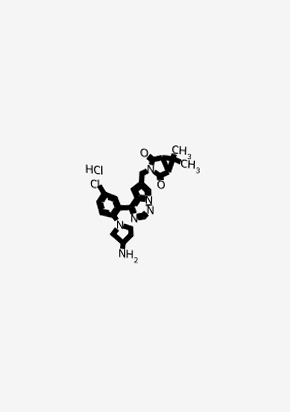 CC1(C)C2C(=O)N(Cc3cc4c(-c5cc(Cl)ccc5N5CCC(N)C5)ncnn4c3)C(=O)C21.Cl